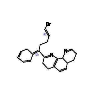 Br/C=C/CC/C(C1=NC2=C(C=CC3CCC=NC23)CC1)=C1/C=CC=CC1